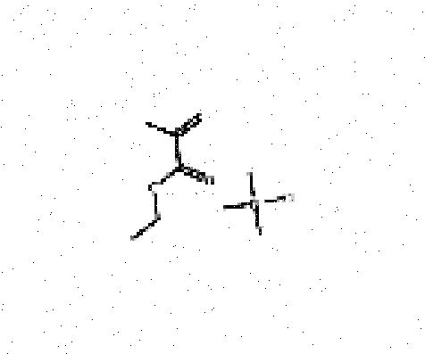 C=C(C)C(=O)OCC.C[N+](C)(C)Cl